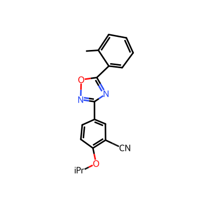 Cc1ccccc1-c1nc(-c2ccc(OC(C)C)c(C#N)c2)no1